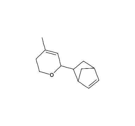 CC1=CC(C2CC3C=CC2C3)OCC1